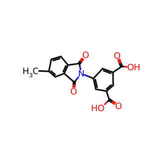 Cc1ccc2c(c1)C(=O)N(c1cc(C(=O)O)cc(C(=O)O)c1)C2=O